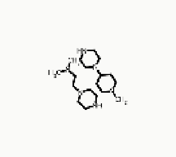 CN(C)CCN1CCNCC1.CN1CCC(N2CCNCC2)CC1